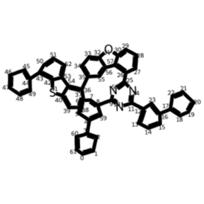 c1ccc(-c2cccc(-c3nc(-c4cccc(-c5ccccc5)c4)nc(-c4cccc5oc6ccc(-c7cccc8sc9c(-c%10ccccc%10)cccc9c78)cc6c45)n3)c2)cc1